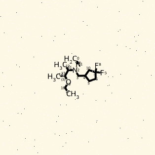 C=NN(CC1CCC(F)(F)C1)C(C)[C@H](C)OCC